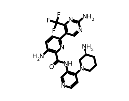 Nc1ncc(-c2ccc(N)c(C(=O)Nc3cnccc3N3CCC[C@H](N)C3)n2)c(C(F)(F)F)n1